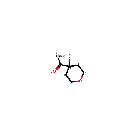 COC(=O)C1(F)CCOCC1